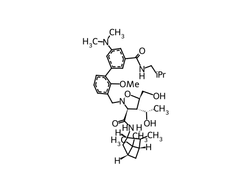 COc1c(CN2O[C@@H](CO)[C@H]([C@H](C)O)[C@H]2C(=O)N[C@H]2C[C@H]3C[C@@H]([C@@H]2C)C3(C)C)cccc1-c1cc(C(=O)NCC(C)C)cc(N(C)C)c1